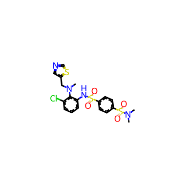 CN(Cc1cncs1)c1c(Cl)cccc1NS(=O)(=O)c1ccc(S(=O)(=O)N(C)C)cc1